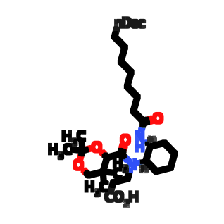 CCCCCCCCCCCCCCCCCC(=O)N[C@@H]1CCCC[C@H]1N(CCC(=O)O)C(=O)C1OC(C)(C)OCC1(C)C